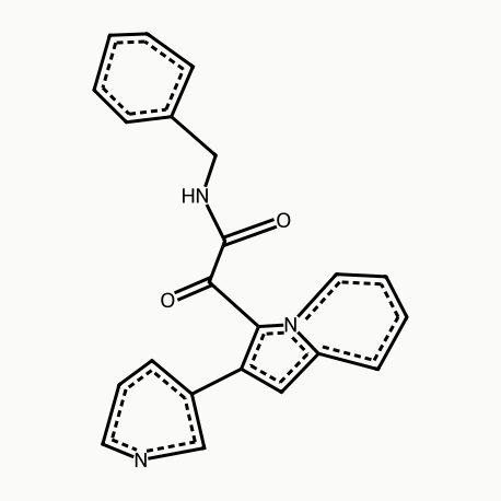 O=C(NCc1ccccc1)C(=O)c1c(-c2cccnc2)cc2ccccn12